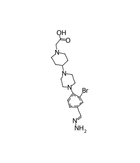 NN=Cc1ccc(N2CCN(C3CCN(CC(=O)O)CC3)CC2)c(Br)c1